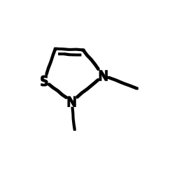 CN1C=CSN1C